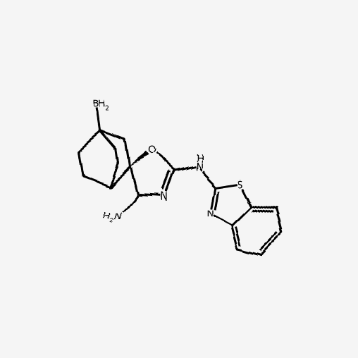 BC12CCC(CC1)[C@@]1(C2)OC(Nc2nc3ccccc3s2)=NC1N